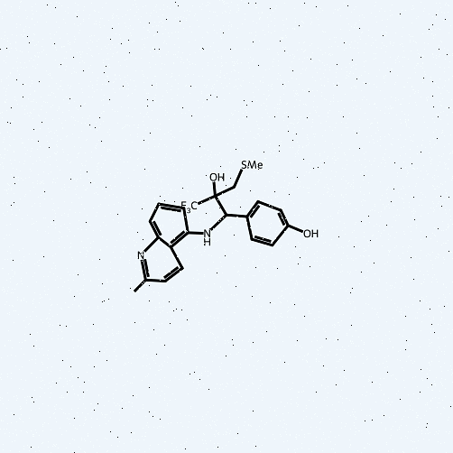 CSCC(O)(C(Nc1cccc2nc(C)ccc12)c1ccc(O)cc1)C(F)(F)F